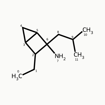 CCC1C2CC2C1(N)CC(C)C